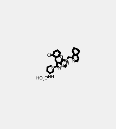 O=C(O)N[C@@H]1CCCN(c2nn3cnn(Cc4nccc5ccccc45)c(=O)c3c2Cc2ccccc2Cl)C1